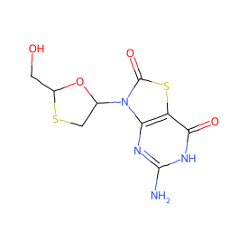 Nc1nc2c(sc(=O)n2C2CSC(CO)O2)c(=O)[nH]1